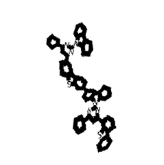 c1ccc(-c2cc(-c3ccc4sc5cc(-c6ccc7c(c6)c6ccccc6n7-c6nc(-c7ccccc7)cc(-c7cccc8c7sc7ccccc78)n6)ccc5c4c3)nc(-n3c4ccccc4c4ccccc43)n2)cc1